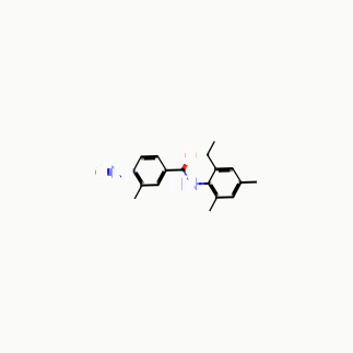 [C-]#[N+]c1ccc(C(=O)Nc2c(C)cc(C)cc2CC)cc1C